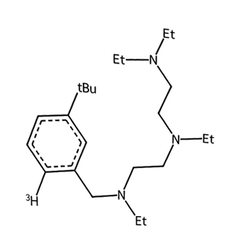 [3H]c1ccc(C(C)(C)C)cc1CN(CC)CCN(CC)CCN(CC)CC